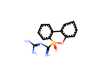 N=C(N=C(N)N)P1(=O)Oc2ccccc2-c2ccccc21